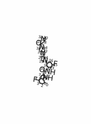 Cc1ccc(F)c2cc(C(=O)Nc3cc(F)cc(N4CCC(N5CCN(C(=O)CN(C)C)CC5)C4)c3)[nH]c12